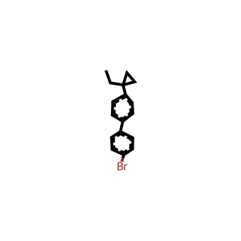 CCC1(c2ccc(-c3ccc(Br)cc3)cc2)CC1